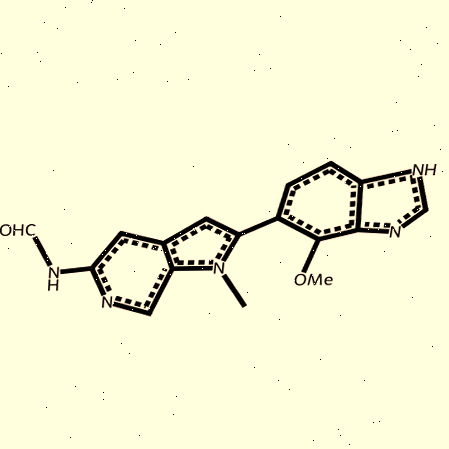 COc1c(-c2cc3cc(NC=O)ncc3n2C)ccc2[nH]cnc12